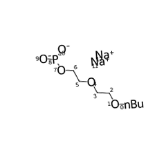 CCCCOCCOCCOP([O-])[O-].[Na+].[Na+]